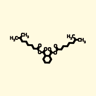 CC(C)CCCCCC(=O)OC(=O)C1CCCCC1C(=O)OC(=O)CCCCCC(C)C